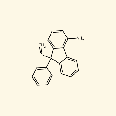 C=PC1(c2ccccc2)c2ccccc2-c2c(N)cccc21